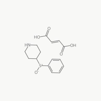 O=C(O)C=CC(=O)O.[O-][S+](c1ccccc1)C1CCNCC1